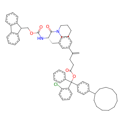 C=C(CCC(=O)OC(c1ccccc1)(c1ccc(C2CCCCCCCCCC2)cc1)c1ccccc1Cl)c1cccc(C[C@H](NC(=O)OCC2c3ccccc3-c3ccccc32)C(=O)N2CCCCC2)c1